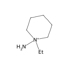 CC[N+]1(N)CCCCC1